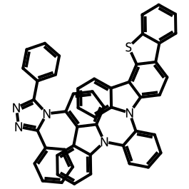 c1ccc(-c2nnc(-c3ccccc3)n2-c2cccc3c2c2ccccc2n3-c2ccccc2-n2c3ccccc3c3c4sc5ccccc5c4ccc32)cc1